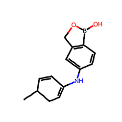 CC1C=CC(Nc2ccc3c(c2)COB3O)=CC1